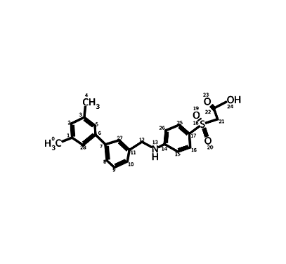 Cc1cc(C)cc(-c2cccc(CNc3ccc(S(=O)(=O)CC(=O)O)cc3)c2)c1